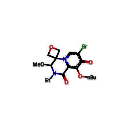 CCCCOc1c2n(cc(Br)c1=O)C1(COC1)C(OC)N(CC)C2=O